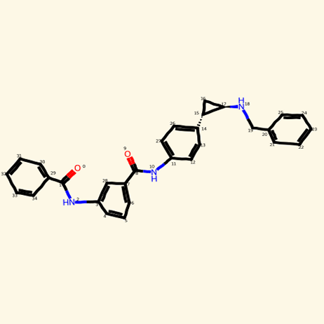 O=C(Nc1cccc(C(=O)Nc2ccc([C@@H]3C[C@H]3NCc3ccccc3)cc2)c1)c1ccccc1